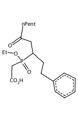 CCCCCC(=O)CC(CCc1ccccc1)P(=O)(CC(=O)O)OCC